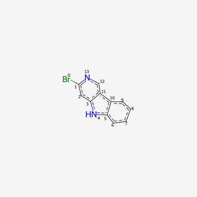 Brc1cc2[nH]c3ccccc3c2cn1